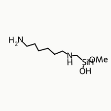 CO[SiH](O)CNCCCCCCN